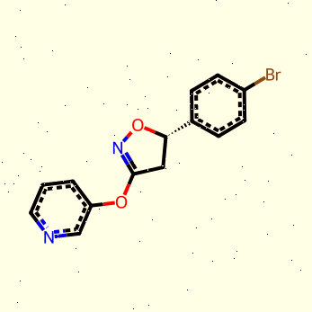 Brc1ccc([C@@H]2CC(Oc3cccnc3)=NO2)cc1